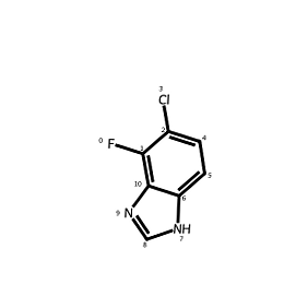 Fc1c(Cl)ccc2[nH]cnc12